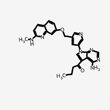 CCCC(=O)c1cn(-c2cncc(COc3ccc4ccc(NC)nc4c3)c2)c2ncnc(N)c12